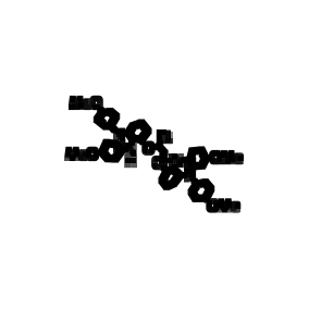 CCC(COc1cccc(Nc2ccc(OC)cc2)c1Nc1ccc(OC)cc1)Oc1cccc(Nc2ccc(OC)cc2)c1Nc1ccc(OC)cc1